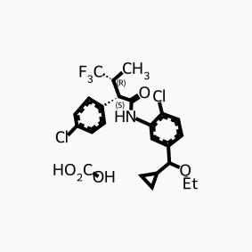 CCOC(c1ccc(Cl)c(NC(=O)[C@H](c2ccc(Cl)cc2)[C@@H](C)C(F)(F)F)c1)C1CC1.O=C(O)O